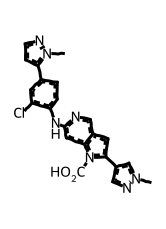 Cn1cc(-c2cc3cnc(Nc4ccc(-c5ccnn5C)cc4Cl)cc3n2C(=O)O)cn1